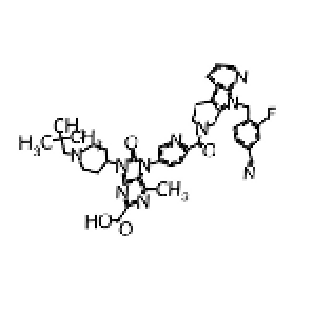 Cc1nc(C(=O)O)nc2c1n(-c1ccc(C(=O)N3CCc4c(n(Cc5ccc(C#N)cc5F)c5ncccc45)C3)nc1)c(=O)n2C1CCN(CC(C)(C)C)CC1